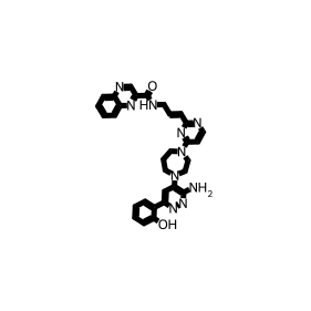 Nc1nnc(-c2ccccc2O)cc1N1CCCN(c2ccnc(/C=C/CNC(=O)c3cnc4ccccc4n3)n2)CC1